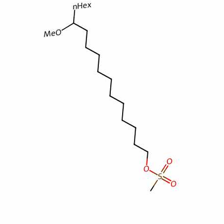 CCCCCCC(CCCCCCCCCCCOS(C)(=O)=O)OC